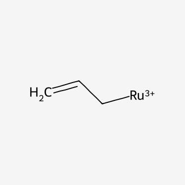 C=C[CH2][Ru+3]